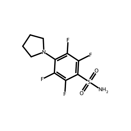 NS(=O)(=O)c1c(F)c(F)c(N2CCCC2)c(F)c1F